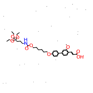 CCO[Si](CCCNC(=O)OCCCCCCOc1ccc(-c2ccc(C=CC(=O)O)c(OC)c2)cc1)(OCC)OCC